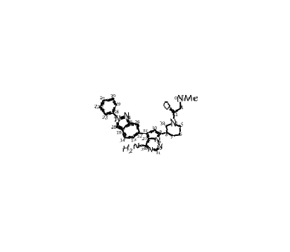 CNCC(=O)N1CCCC(c2cc(-c3ccc4cn(-c5ccccc5)nc4c3)c3c(N)ncnn23)C1